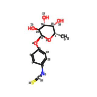 C[C@@H]1O[C@@H](Oc2ccc(N=C=S)cc2)[C@@H](O)[C@H](O)[C@@H]1O